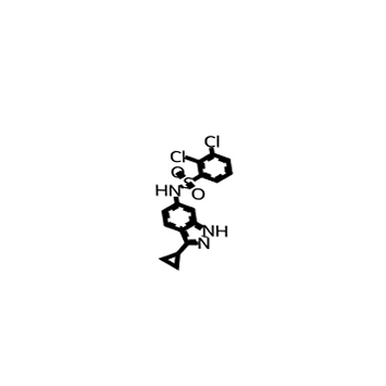 O=S(=O)(Nc1ccc2c(C3CC3)n[nH]c2c1)c1cccc(Cl)c1Cl